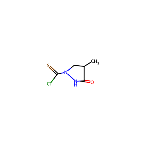 CC1CN(C(=S)Cl)NC1=O